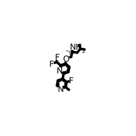 Cc1nccc(-c2ccc(OC[C@@](C)(N)CC(C)C)c(C(F)F)n2)c1F